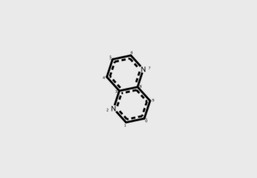 [c]1cnc2c[c]cnc2c1